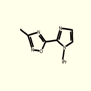 Cc1noc(-c2nccn2C(C)C)n1